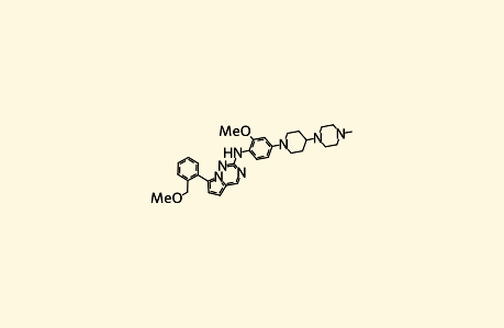 COCc1ccccc1-c1ccc2cnc(Nc3ccc(N4CCC(N5CCN(C)CC5)CC4)cc3OC)nn12